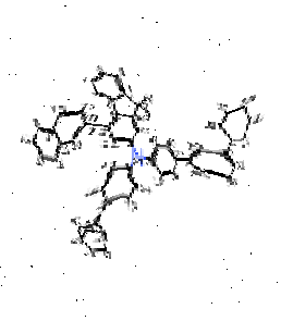 CC1(C)c2ccccc2-c2c(-c3ccc4ccccc4c3)cc(N(c3ccc(-c4cccc(C5CCCCC5)c4)cc3)c3ccc(C4CC5CCC4C5)cc3)cc21